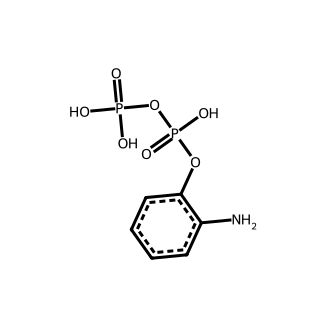 Nc1ccccc1OP(=O)(O)OP(=O)(O)O